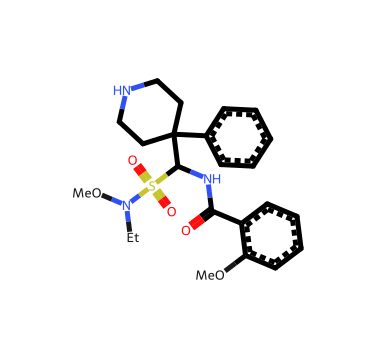 CCN(OC)S(=O)(=O)C(NC(=O)c1ccccc1OC)C1(c2ccccc2)CCNCC1